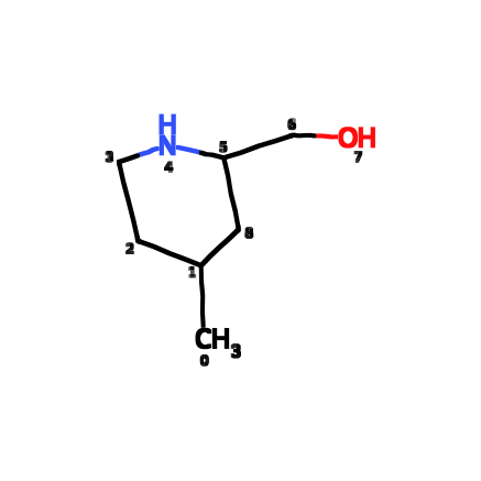 CC1CCNC(CO)C1